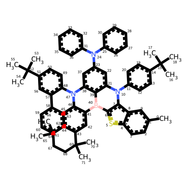 Cc1ccc2sc3c(c2c1)N(c1ccc(C(C)(C)C)cc1)c1cc(N(c2ccccc2)c2ccccc2)cc2c1B3c1cc3c(cc1N2c1ccc(C(C)(C)C)cc1-c1ccccc1)C(C)(C)CCC3(C)C